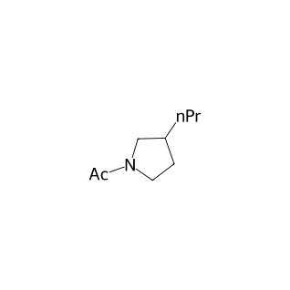 [CH2]C(=O)N1CCC(CCC)C1